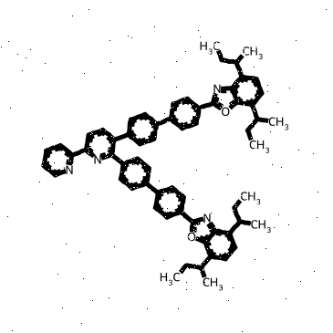 CCC(C)c1ccc(C(C)CC)c2oc(-c3ccc(-c4ccc(-c5ccc(-c6ccccn6)nc5-c5ccc(-c6ccc(-c7nc8c(C(C)CC)ccc(C(C)CC)c8o7)cc6)cc5)cc4)cc3)nc12